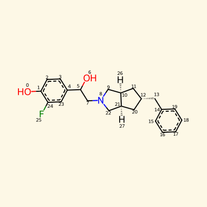 Oc1ccc(C(O)CN2C[C@H]3C[C@H](Cc4ccccc4)C[C@H]3C2)cc1F